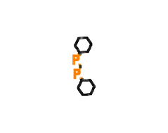 C1CCC(=PCP=C2CCCCC2)CC1